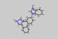 C[n+]1cc2c3ccccc3c3ccc(-n4c[n+](C)c5ccccc54)cc3n2c1